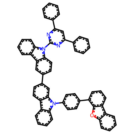 c1ccc(-c2cc(-c3ccccc3)nc(-n3c4ccccc4c4cc(-c5ccc6c7ccccc7n(-c7ccc(-c8cccc9c8oc8ccccc89)cc7)c6c5)ccc43)n2)cc1